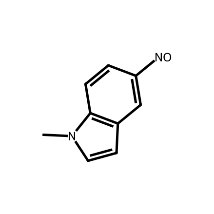 Cn1ccc2cc(N=O)ccc21